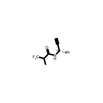 C#C[C@@H](NC(=O)C(C)C(F)(F)F)C(C)C